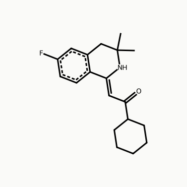 CC1(C)Cc2cc(F)ccc2/C(=C/C(=O)C2CCCCC2)N1